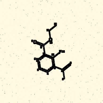 C=C(C)c1ccnc(C(=O)OCC)c1F